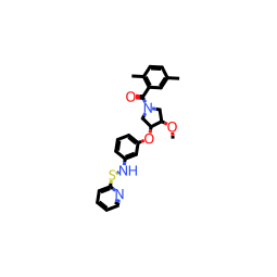 COC1CN(C(=O)c2cc(C)ccc2C)CC1Oc1cccc(NSc2ccccn2)c1